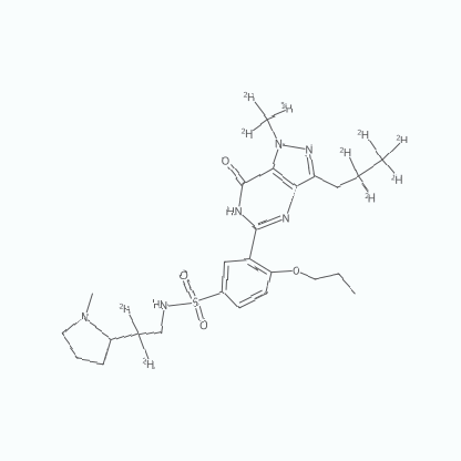 [2H]C([2H])(CNS(=O)(=O)c1ccc(OCCC)c(-c2nc3c(CC([2H])([2H])C([2H])([2H])[2H])nn(C([2H])([2H])[2H])c3c(=O)[nH]2)c1)C1CCCN1C